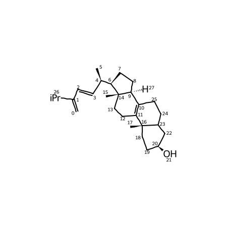 C=C(/C=C/[C@@H](C)[C@H]1CC[C@H]2C3=C(CC[C@]12C)[C@@]1(C)CC[C@H](O)CC1CC3)C(C)C